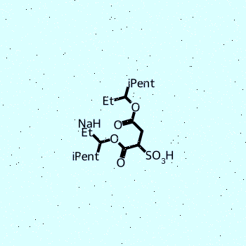 CCCC(C)C(CC)OC(=O)CC(C(=O)OC(CC)C(C)CCC)S(=O)(=O)O.[NaH]